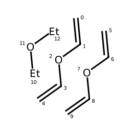 C=COC=C.C=COC=C.CCOCC